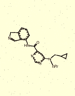 CCCN(CC1CC1)c1cc(C(=O)Nc2cccc3c2C=NC3)ncn1